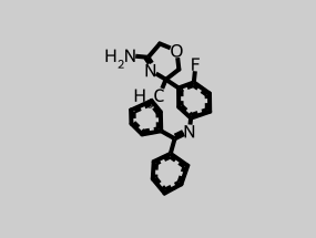 CC1(c2cc(N=C(c3ccccc3)c3ccccc3)ccc2F)COCC(N)=N1